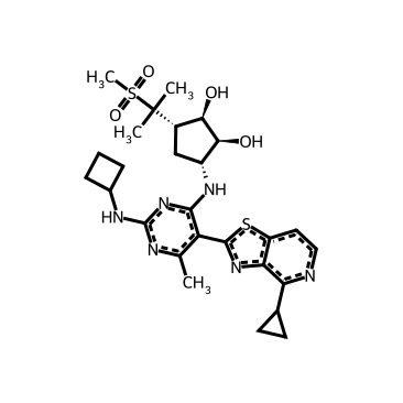 Cc1nc(NC2CCC2)nc(N[C@@H]2C[C@H](C(C)(C)S(C)(=O)=O)[C@@H](O)[C@H]2O)c1-c1nc2c(C3CC3)nccc2s1